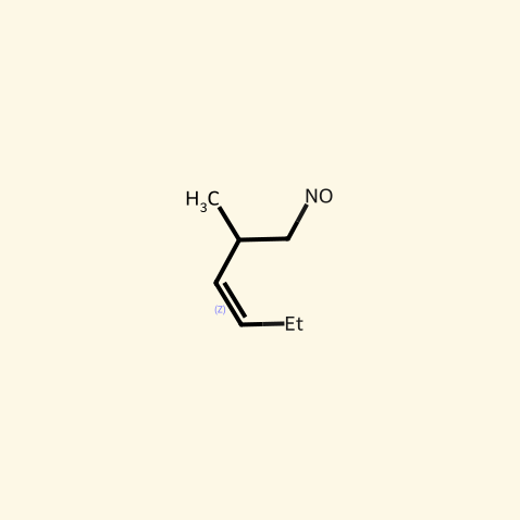 CC/C=C\C(C)CN=O